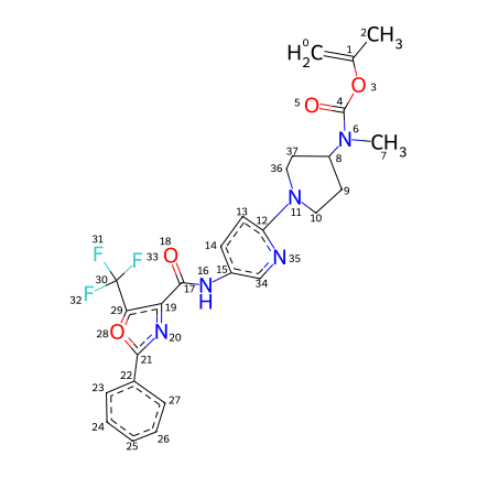 C=C(C)OC(=O)N(C)C1CCN(c2ccc(NC(=O)c3nc(-c4ccccc4)oc3C(F)(F)F)cn2)CC1